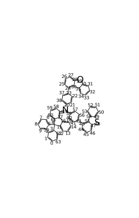 c1ccc(C2(c3ccccc3)c3ccccc3-c3c(N(c4ccc(-c5cccc6oc7ccccc7c56)cc4)c4ccc(-c5cccc6sc7ccccc7c56)cc4)cccc32)cc1